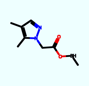 CBOC(=O)Cn1ncc(C)c1C